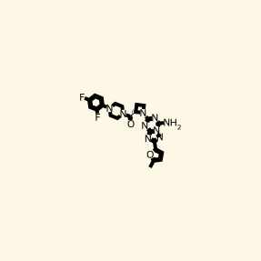 Cc1ccc(-c2nc3nc(N4CC[C@H]4C(=O)N4CCN(c5ccc(F)cc5F)CC4)nc(N)n3n2)o1